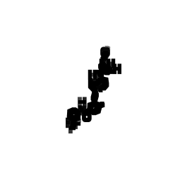 COCCN/C=C(\C=N)Nc1cccn2c(C#Cc3cc(C(=O)Nc4cccc(C(F)(F)F)c4)ccc3C)cnc12